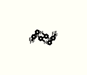 N#Cc1ccc(-n2c3ccccc3c3ccc(C(F)(F)F)cc32)cc1-c1cc(-n2c3ccccc3c3ccc(C(F)(F)F)cc32)ccc1C#N